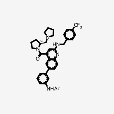 CC(=O)Nc1cccc(-c2ccc3nc(NCc4ccc(C(F)(F)F)cc4)cc(C(=O)N4CCC[C@H]4CN4CCCC4)c3c2)c1